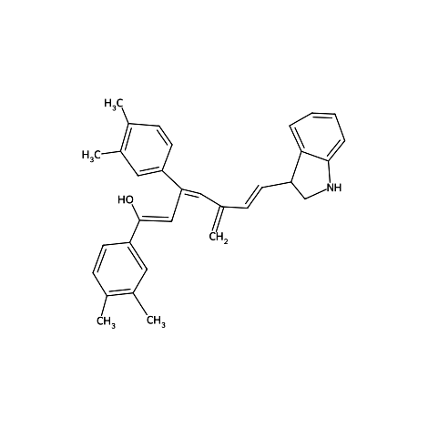 C=C(/C=C/C1CNc2ccccc21)/C=C(\C=C(/O)c1ccc(C)c(C)c1)c1ccc(C)c(C)c1